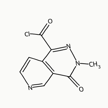 Cn1nc(C(=O)Cl)c2ccncc2c1=O